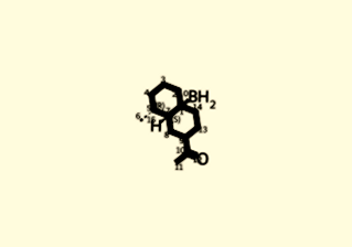 B[C@]12CCC[C@@H](C)[C@@H]1CC(C(C)=O)CC2